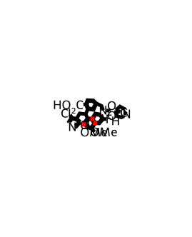 COc1ccc(C(Cc2c(Cl)cncc2Cl)c2cc(CN(C(=O)O[C@H]3CN4CCC3CC4)c3ccccc3F)ccc2C(=O)O)cc1OC